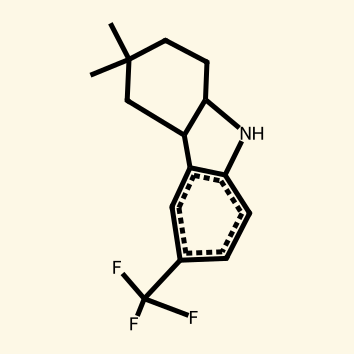 CC1(C)CCC2Nc3ccc(C(F)(F)F)cc3C2C1